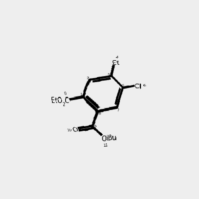 CCOC(=O)c1cc(CC)c(Cl)cc1C(=O)OCC(C)C